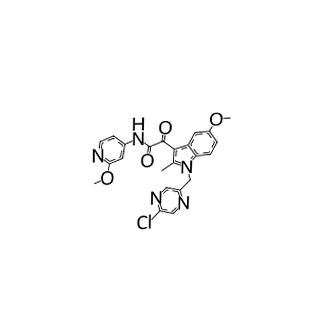 COc1ccc2c(c1)c(C(=O)C(=O)Nc1ccnc(OC)c1)c(C)n2Cc1cnc(Cl)cn1